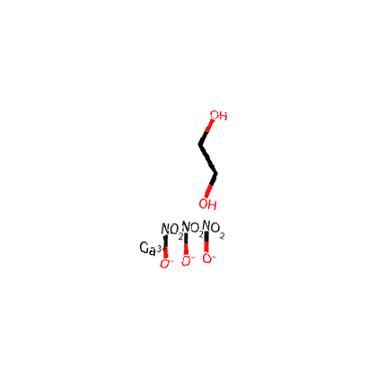 O=[N+]([O-])[O-].O=[N+]([O-])[O-].O=[N+]([O-])[O-].OCCO.[Ga+3]